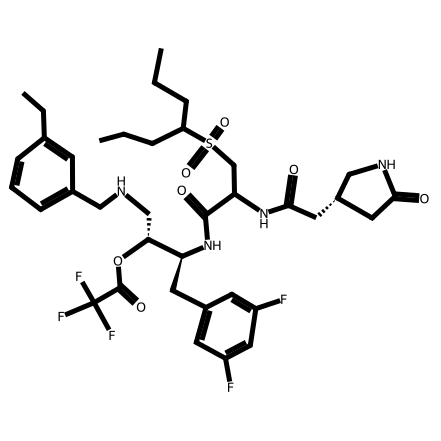 CCCC(CCC)S(=O)(=O)CC(NC(=O)C[C@@H]1CNC(=O)C1)C(=O)N[C@@H](Cc1cc(F)cc(F)c1)[C@@H](CNCc1cccc(CC)c1)OC(=O)C(F)(F)F